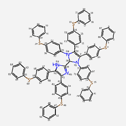 c1ccc(Sc2ccc(C3=C(c4ccc(Sc5ccccc5)cc4)N(c4ccc(Sc5ccccc5)cc4)C(c4nc(-c5ccc(Sc6ccccc6)cc5)c(-c5ccc(Sc6ccccc6)cc5)[nH]4)N3c3ccc(Sc4ccccc4)cc3)cc2)cc1